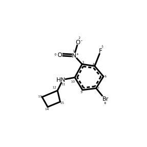 O=[N+]([O-])c1c(F)cc(Br)cc1NC1CCC1